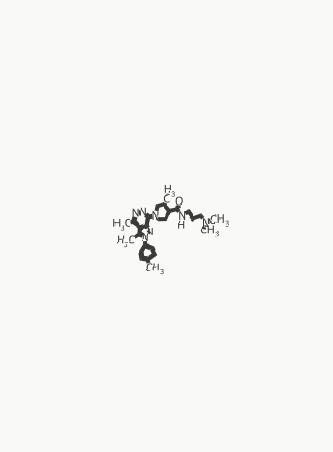 Cc1ccc(-n2nc3c(N4CCC(C(=O)NCCCN(C)C)C(C)C4)nnc(C)c3c2C)cc1